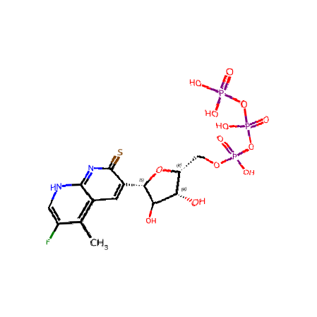 Cc1c(F)c[nH]c2nc(=S)c([C@@H]3O[C@H](COP(=O)(O)OP(=O)(O)OP(=O)(O)O)[C@H](O)C3O)cc1-2